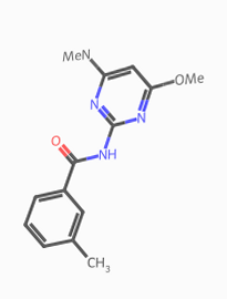 CNc1cc(OC)nc(NC(=O)c2cccc(C)c2)n1